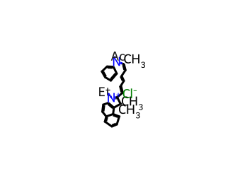 CC[N+]1=C(/C=C/C=C/C=C(/C)N(C(C)=O)c2ccccc2)C(C)(C)c2c1ccc1ccccc21.[Cl-]